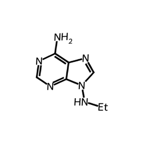 CCNn1cnc2c(N)ncnc21